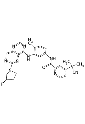 Cc1ccc(NC(=O)c2cccc(C(C)(C)C#N)c2)cc1Nc1ncnc2cnc(N3CC[C@@H](F)C3)nc12